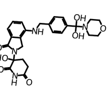 O=C1CCC(O)(N2Cc3c(NCc4ccc(C(O)(O)N5CCOCC5)cc4)cccc3C2=O)C(=O)N1